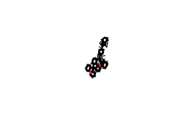 c1ccc(C2(c3ccccc3)c3ccccc3-c3c(N(c4ccc(-c5nc6ccccc6s5)cc4)c4nc5ccccc5s4)cccc32)cc1